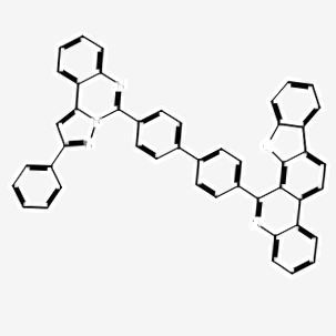 c1ccc(-c2cc3c4ccccc4nc(-c4ccc(-c5ccc(-c6nc7ccccc7c7ccc8c9ccccc9oc8c67)cc5)cc4)n3n2)cc1